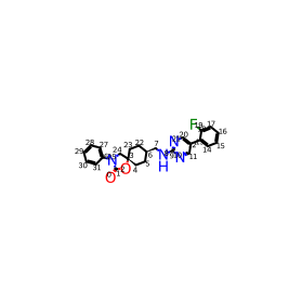 O=C1O[C@]2(CC[C@H](CNc3ncc(-c4ccccc4F)cn3)CC2)CN1c1ccccc1